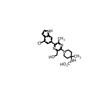 Cc1nc(N2CCC(C)(NC(=O)O)CC2)c(CO)nc1-c1cc(Cl)c2cc[nH]c2c1